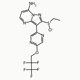 CC[S+]([O-])c1nn2c(N)ccnc2c1-c1cnc(OCC(F)(F)C(F)(F)F)cn1